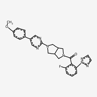 COc1ccc(-c2cnc(N3CC4CN(C(=O)c5c(F)cccc5-n5nccn5)CC4C3)nc2)cc1